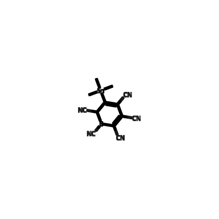 [CH3][Sn]([CH3])([CH3])[C]1=C(C#N)C(C#N)=C(C#N)B(C#N)C1C#N